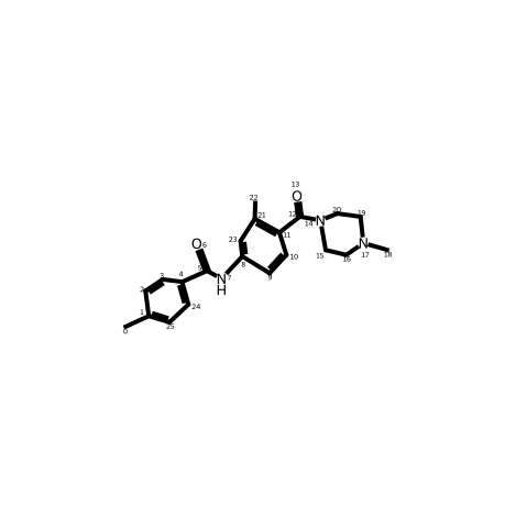 Cc1ccc(C(=O)Nc2ccc(C(=O)N3CCN(C)CC3)c(C)c2)cc1